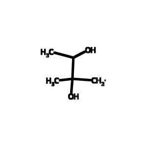 [CH2]C(C)(O)C(C)O